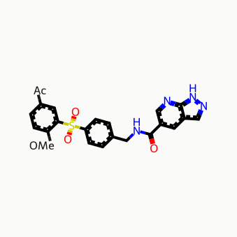 COc1ccc(C(C)=O)cc1S(=O)(=O)c1ccc(CNC(=O)c2cnc3[nH]ncc3c2)cc1